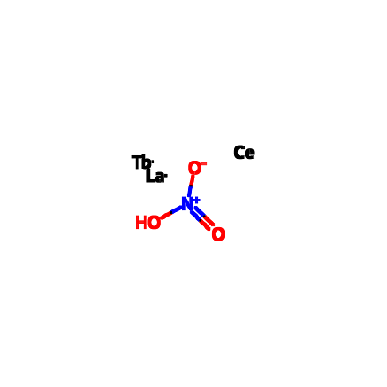 O=[N+]([O-])O.[Ce].[La].[Tb]